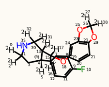 [2H]C1([2H])C[C@@]([2H])(c2ccc(F)cc2)C([2H])(C([2H])([2H])Oc2ccc3c(c2)OC([2H])([2H])O3)C([2H])([2H])N1